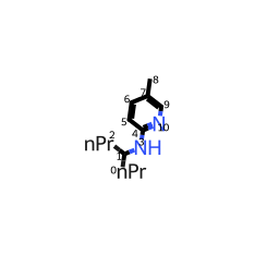 CCCC(CCC)Nc1ccc(C)cn1